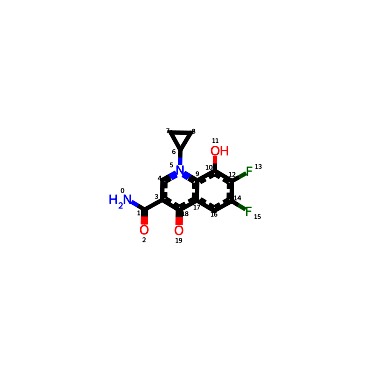 NC(=O)c1cn(C2CC2)c2c(O)c(F)c(F)cc2c1=O